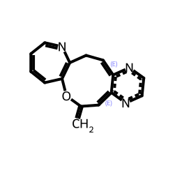 C=C1/C=c2/nccn/c2=C/CC2=C(C=C=CC=N2)O1